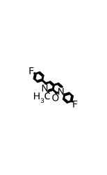 Cc1nc(-c2ccc(F)cc2)cc2ccn(-c3ccc(F)cc3)c(=O)c12